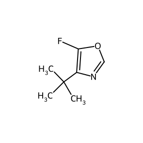 CC(C)(C)c1ncoc1F